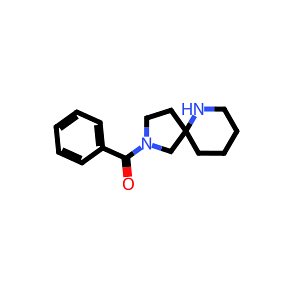 O=C(c1ccccc1)N1CCC2(CCCCN2)C1